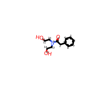 O=C(Cc1ccccc1)N(CCO)CCO